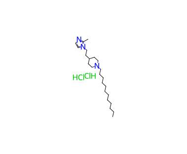 CCCCCCCCCCCCN1CCC(CCn2ccnc2C)CC1.Cl.Cl